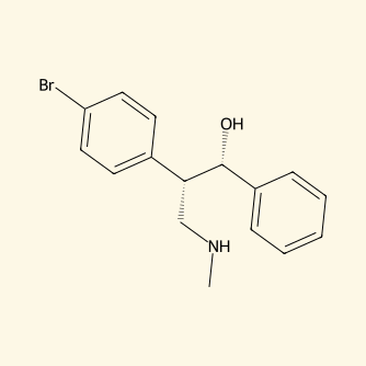 CNC[C@H](c1ccc(Br)cc1)[C@H](O)c1ccccc1